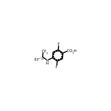 CC[C@@H](Nc1cc(F)c(C(=O)O)cc1F)C(F)(F)F